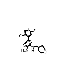 Nc1ncc(-c2cc(F)ncc2Cl)nc1NCC1CCOCC1